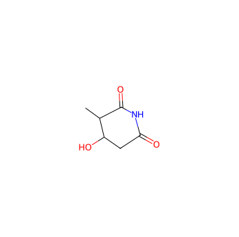 CC1C(=O)NC(=O)CC1O